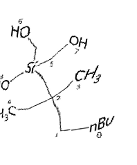 CCCCCC(C)(C)[Si](O)(O)O